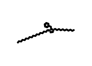 CCCCCCCCCCCCCCCCCCn1cc[n+](CCCCCCCCCCC)c1Cc1ccccc1